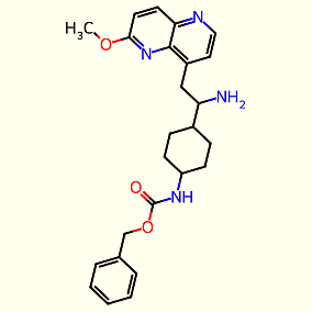 COc1ccc2nccc(CC(N)C3CCC(NC(=O)OCc4ccccc4)CC3)c2n1